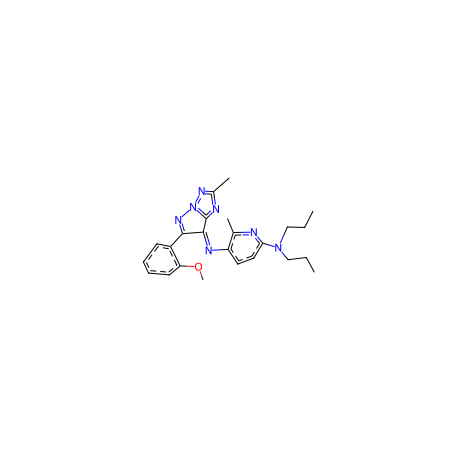 CCCN(CCC)c1ccc(/N=C2/C(c3ccccc3OC)=Nn3nc(C)nc32)c(C)n1